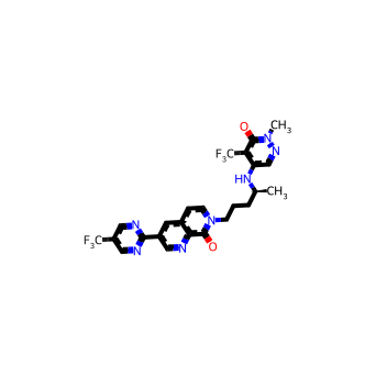 C[C@@H](CCCn1ccc2cc(-c3ncc(C(F)(F)F)cn3)cnc2c1=O)Nc1cnn(C)c(=O)c1C(F)(F)F